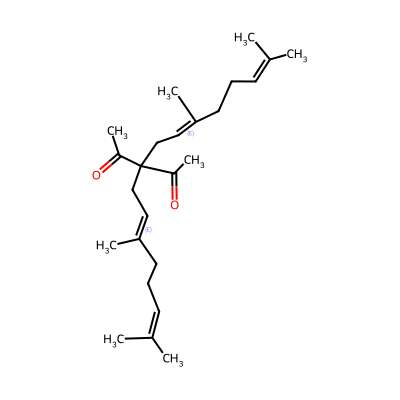 CC(=O)C(C/C=C(\C)CCC=C(C)C)(C/C=C(\C)CCC=C(C)C)C(C)=O